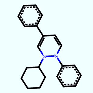 C1=CN(c2ccccc2)N(C2CCCCC2)C=C1c1ccccc1